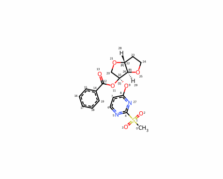 CS(=O)(=O)c1nccc(O[C@]2(OC(=O)c3ccccc3)CO[C@@H]3CCO[C@H]32)n1